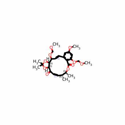 COCOc1cc(OC)cc2c1C(=O)O[C@@H](C)[C@H](C)/C=C\C(=O)[C@H]1OC(C)(C)O[C@H]1C(OCOC)/C=C/2